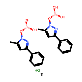 Cc1cc(-c2ccccc2)nn1OB(O)O.Cc1cc(-c2ccccc2)nn1OB(O)O.Cl.[Ti]